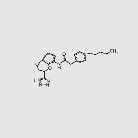 CCCCCc1ccc(CC(=O)Nc2cccc3c2OC(c2nnn[nH]2)CO3)cc1